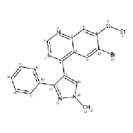 CCOc1cc2ncnc(-c3cn(C)nc3-c3ccccc3)c2cc1Br